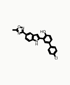 Cc1nc(-c2ccc3[nH]c(-c4cc(-c5ccc(Cl)cc5)ccc4O)cc3c2)no1